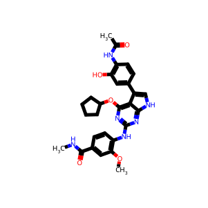 CNC(=O)c1ccc(Nc2nc(OC3CCCC3)c3c(-c4ccc(NC(C)=O)c(O)c4)c[nH]c3n2)c(OC)c1